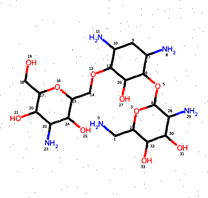 NCC1OC(OC2C(N)CC(N)C(OCC3OC(CO)C(O)C(N)C3O)C2O)C(N)C(O)C1O